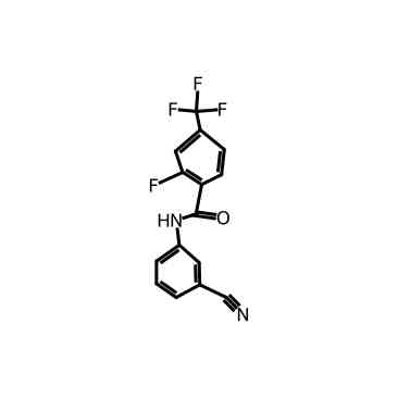 N#Cc1cccc(NC(=O)c2ccc(C(F)(F)F)cc2F)c1